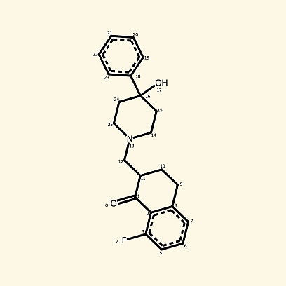 O=C1c2c(F)cccc2CCC1CN1CCC(O)(c2ccccc2)CC1